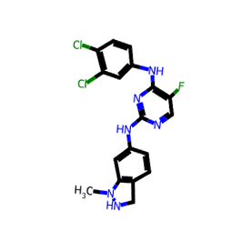 CN1NCc2ccc(Nc3ncc(F)c(Nc4ccc(Cl)c(Cl)c4)n3)cc21